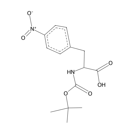 CC(C)(C)OC(=O)NC(Cc1ccc([N+](=O)[O-])cc1)C(=O)O